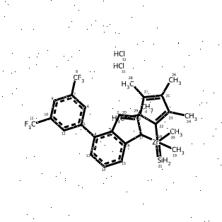 CC1=Cc2c(-c3cc(C(F)(F)F)cc(C(F)(F)F)c3)cccc2[CH]1[Zr]([CH3])([CH3])(=[SiH2])[C]1=C(C)C(C)=C(C)C1C.Cl.Cl